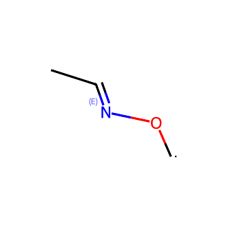 [CH2]O/N=C/C